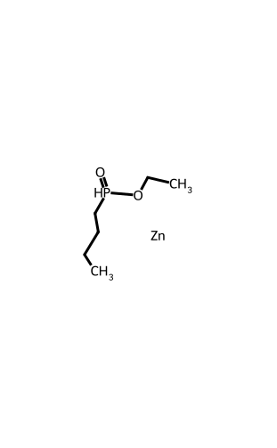 CCCC[PH](=O)OCC.[Zn]